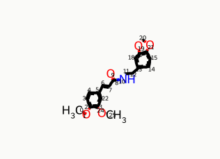 COc1ccc(C=CC(=O)NCCc2ccc3c(c2)OCO3)cc1OC